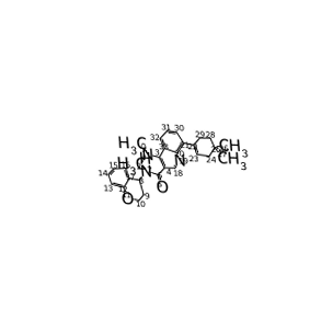 CN(C)c1c(C(=O)NC2CCOc3ccccc32)cnc2c(C3=CCC(C)(C)CC3)cccc12